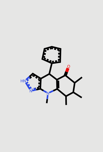 CC1C(=O)C2=C(C(C)C1C)N(C)c1n[nH]cc1C2c1ccccc1